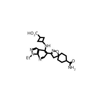 CCn1ncc2c(NC3CC(C(=O)O)C3)c(C3=NOC4(CCC(C(N)=O)CC4)C3)cnc21